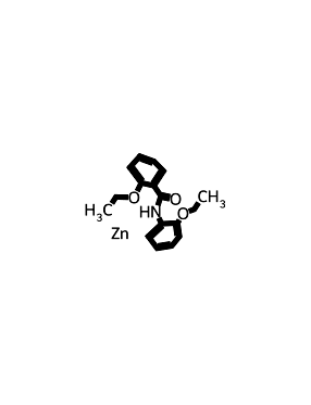 CCOc1ccccc1NC(=O)c1ccccc1OCC.[Zn]